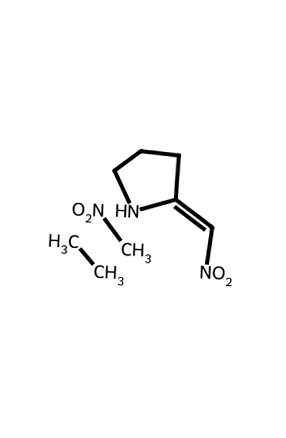 CC.C[N+](=O)[O-].O=[N+]([O-])C=C1CCCN1